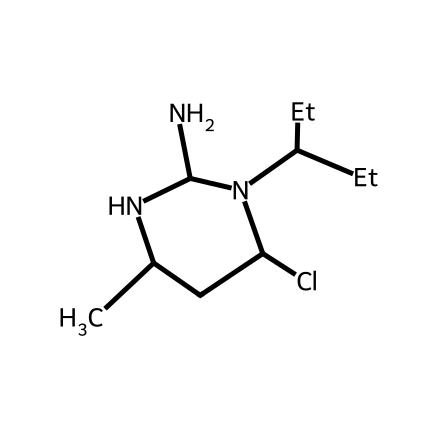 CCC(CC)N1C(Cl)CC(C)NC1N